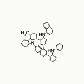 CC1CC=C(c2cc(-c3cccc(-c4ccccc4Nc4ccccc4)c3)ccc2Nc2cccc3ccccc23)c2c1c1ccccc1n2-c1ccccc1